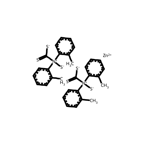 Cc1ccccc1[N+]([S-])(C(=S)[S-])c1ccccc1C.Cc1ccccc1[N+]([S-])(C(=S)[S-])c1ccccc1C.[Zn+2]